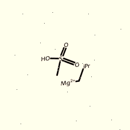 CC(C)[CH2][Mg+2].CS(=O)(=O)O